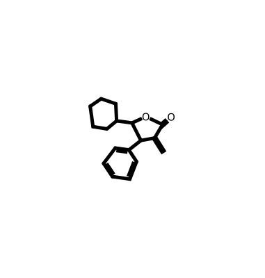 C=C1C(=O)OC(C2CCCCC2)C1c1ccccc1